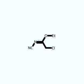 CCO/C(CCl)=N/C#N